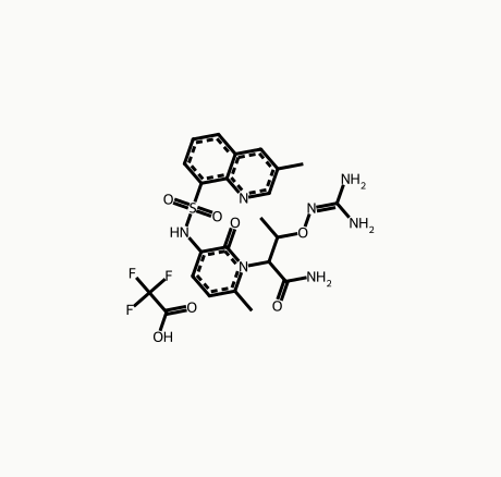 Cc1cnc2c(S(=O)(=O)Nc3ccc(C)n(C(C(N)=O)C(C)ON=C(N)N)c3=O)cccc2c1.O=C(O)C(F)(F)F